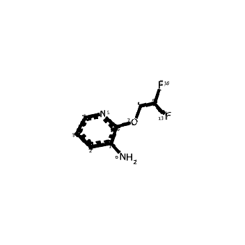 Nc1cccnc1OCC(F)F